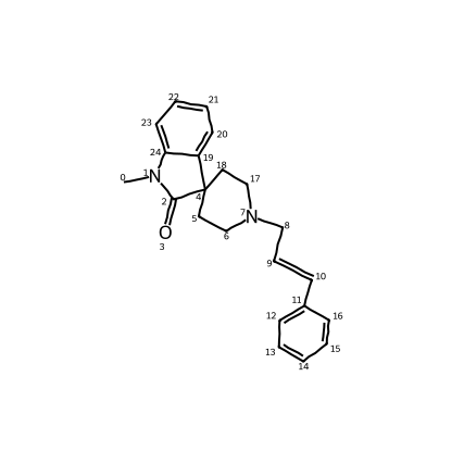 CN1C(=O)C2(CCN(CC=Cc3ccccc3)CC2)c2ccccc21